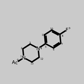 CC(=O)N1CCN(c2ccc(F)cc2)CC1